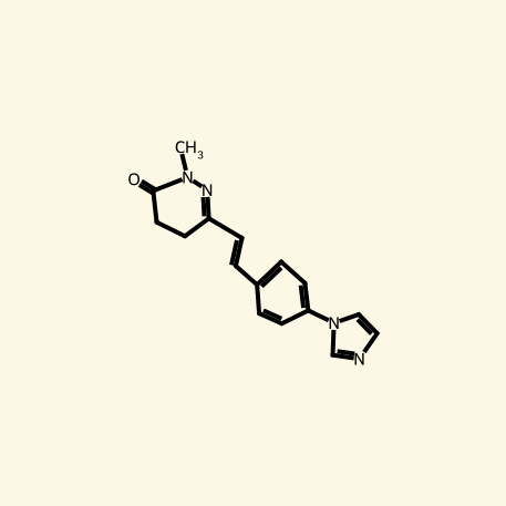 CN1N=C(C=Cc2ccc(-n3ccnc3)cc2)CCC1=O